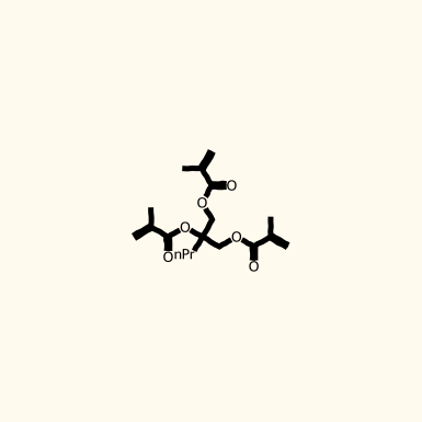 C=C(C)C(=O)OCC(CCC)(COC(=O)C(=C)C)OC(=O)C(=C)C